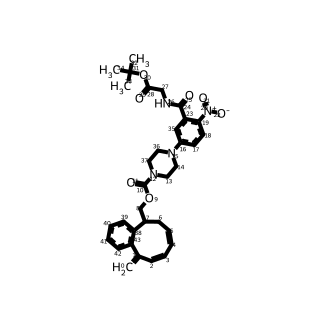 C=C1/C=C\C=C/CC(COC(=O)N2CCN(c3ccc([N+](=O)[O-])c(C(=O)NCC(=O)OC(C)(C)C)c3)CC2)c2ccccc21